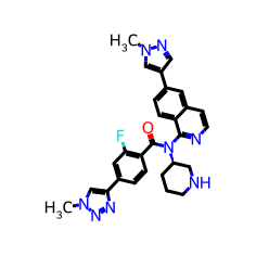 Cn1cc(-c2ccc3c(N(C(=O)c4ccc(-c5cn(C)nn5)cc4F)[C@@H]4CCCNC4)nccc3c2)cn1